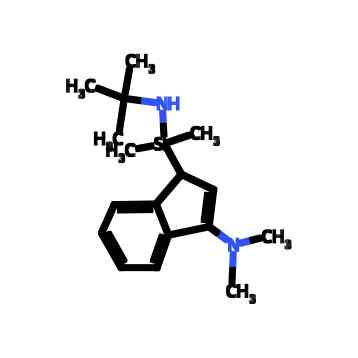 CN(C)C1=CC([Si](C)(C)NC(C)(C)C)c2ccccc21